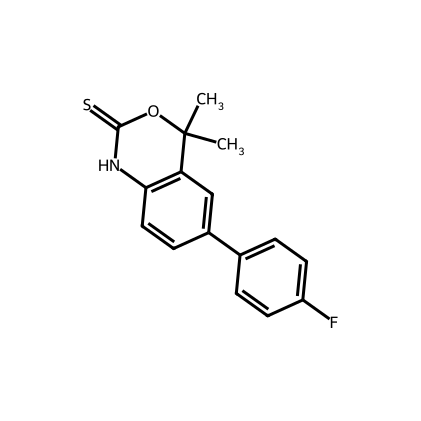 CC1(C)OC(=S)Nc2ccc(-c3ccc(F)cc3)cc21